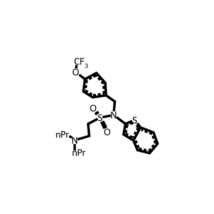 CCCN(CCC)CCS(=O)(=O)N(Cc1ccc(OC(F)(F)F)cc1)c1cc2ccccc2s1